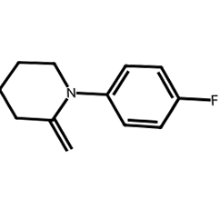 C=C1CCCCN1c1ccc(F)cc1